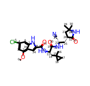 COc1cc(Cl)cc2[nH]c(C(=O)N[C@@H](CC3(C)CC3)C(=O)N[C@H](C#N)C[C@@H]3CC(C)(C)NC3=O)cc12